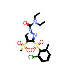 CCN(CC)C(=O)n1cc(S(C)(=O)=O)c(S(=O)(=O)c2c(C)cccc2Cl)n1